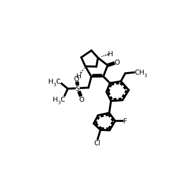 CCc1ccc(-c2ccc(Cl)cc2F)cc1C1=C(CS(=O)(=O)C(C)C)[C@H]2CC[C@H](C2)C1=O